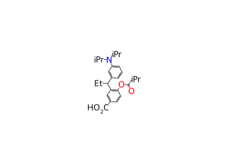 CCC(c1cccc(N(C(C)C)C(C)C)c1)c1cc(C(=O)O)ccc1OC(=O)C(C)C